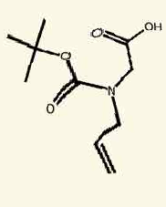 C=CCN(CC(=O)O)C(=O)OC(C)(C)C